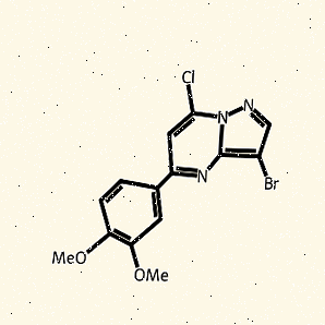 COc1ccc(-c2cc(Cl)n3ncc(Br)c3n2)cc1OC